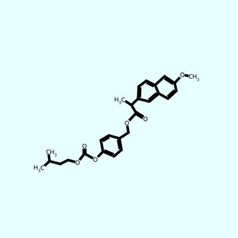 COc1ccc2cc(C(C)C(=O)OCc3ccc(OC(=O)OCCC(C)C)cc3)ccc2c1